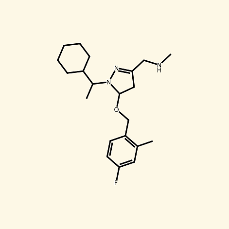 CNCC1=NN(C(C)C2CCCCC2)C(OCc2ccc(F)cc2C)C1